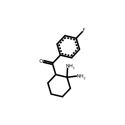 NC1(N)CCCCC1C(=O)c1ccc(F)cc1